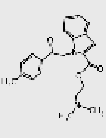 Cc1ccc(C(=O)Cn2c(C(=O)OCCN(C)C)cc3ccccc32)cc1